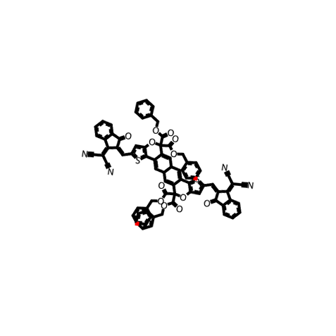 N#CC(C#N)=C1/C(=C/c2cc3c(s2)C2=CC4C=C5C(=CC4C=C2C(C(=O)OCc2ccccc2)(C(=O)OCc2ccccc2)O3)c2sc(/C=C3\C(=O)c4ccccc4C3=C(C#N)C#N)cc2OC5(C(=O)OCc2ccccc2)C(=O)OCc2ccccc2)C(=O)c2ccccc21